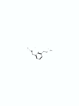 CNCCc1cccc(CC(=O)OC)c1